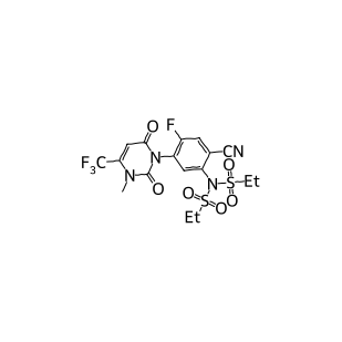 CCS(=O)(=O)N(c1cc(-n2c(=O)cc(C(F)(F)F)n(C)c2=O)c(F)cc1C#N)S(=O)(=O)CC